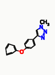 Cn1cc(-c2ccc(Oc3ccccc3)cc2)nn1